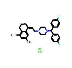 Cc1cc(C)c2c(c1)/C(=C\CN1CCN(C(c3ccc(F)cc3)c3ccc(F)cc3)CC1)CCC2.Cl.Cl